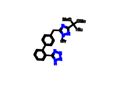 CCCCC(OC)(OC)c1nc(Cc2ccc(-c3ccccc3-c3nnn[nH]3)cc2)n(CCC)n1